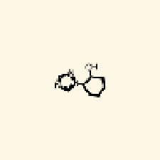 OC1CCCCC1n1cncn1